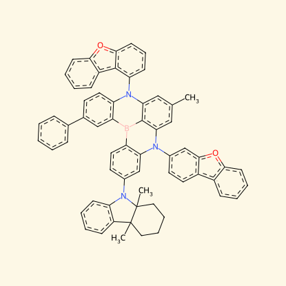 Cc1cc2c3c(c1)N(c1cccc4oc5ccccc5c14)c1ccc(-c4ccccc4)cc1B3c1ccc(N3c4ccccc4C4(C)CCCCC34C)cc1N2c1ccc2c(c1)oc1ccccc12